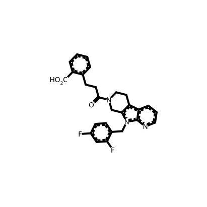 O=C(O)c1ccccc1CCC(=O)N1CCc2c(n(Cc3ccc(F)cc3F)c3ncccc23)C1